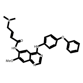 COc1cc2ncnc(Nc3ccc(Oc4ccccc4)cc3)c2cc1NC(=O)C=CCN(C)C